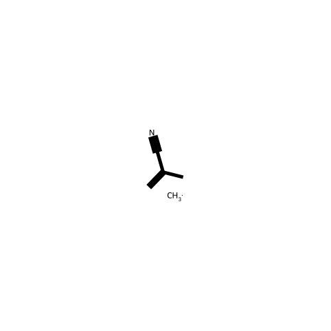 C=C(C)C#N.[CH3]